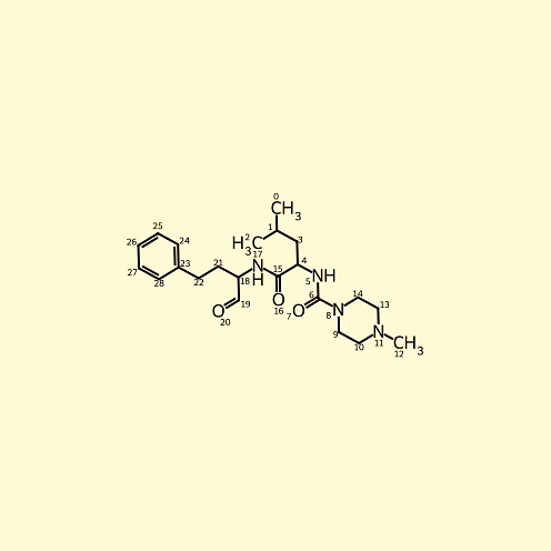 CC(C)CC(NC(=O)N1CCN(C)CC1)C(=O)NC(C=O)CCc1ccccc1